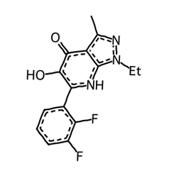 CCn1nc(C)c2c(=O)c(O)c(-c3cccc(F)c3F)[nH]c21